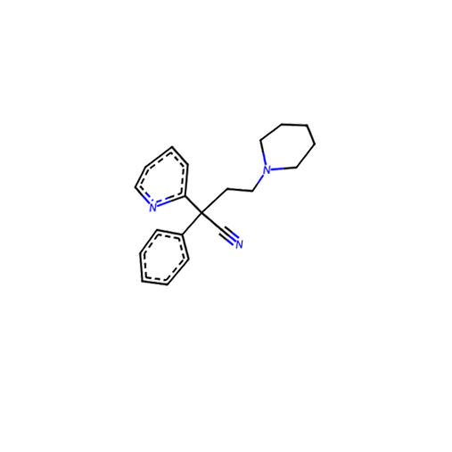 N#CC(CCN1CCCCC1)(c1ccccc1)c1ccccn1